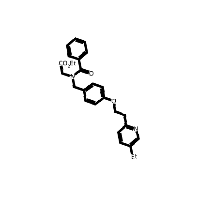 CCOC(=O)CN(Cc1ccc(OCCc2ccc(CC)cn2)cc1)C(=O)c1ccccc1